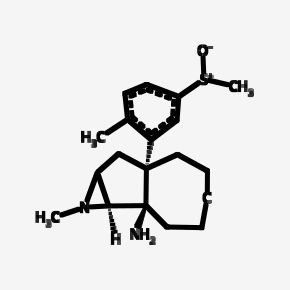 Cc1ccc([S+](C)[O-])cc1[C@]12CCCCC[C@]1(N)[C@@H]1C(C2)N1C